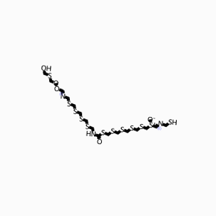 O=C(NCSCSCSCSC/N=C/OOCSCO)SCSCSCSCSC[S+]([O-])/C=N/CS